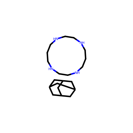 C1C2CC3CC1CC(C2)C3.C1CNCCNCCCNCCNC1